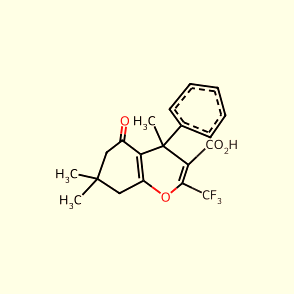 CC1(C)CC(=O)C2=C(C1)OC(C(F)(F)F)=C(C(=O)O)C2(C)c1ccccc1